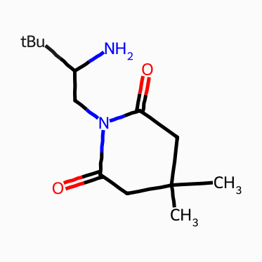 CC1(C)CC(=O)N(CC(N)C(C)(C)C)C(=O)C1